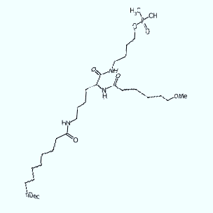 CCCCCCCCCCCCCCCCCC(=O)NCCCCC(NC(=O)CCCCCOC)C(=O)NCCCCOP(C)(=O)O